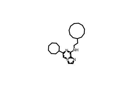 c1cn2cc(C3CCCCCCC3)nc(NCCC3CCCCCCCCCC3)c2n1